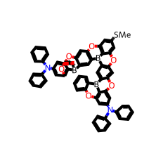 CSc1cc2c3c(c1)Oc1cc4c(cc1B3c1cc3c(cc1O2)Oc1cc(N(c2ccccc2)c2ccccc2)cc2c1B3c1ccccc1O2)B1c2ccccc2Oc2cc(N(c3ccccc3)c3ccccc3)cc(c21)O4